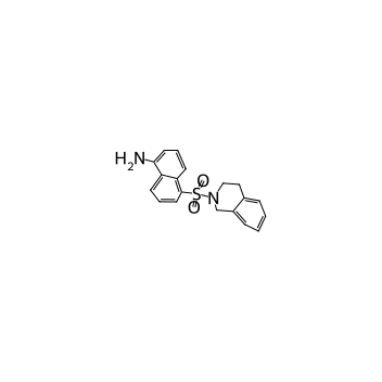 Nc1cccc2c(S(=O)(=O)N3CCc4ccccc4C3)cccc12